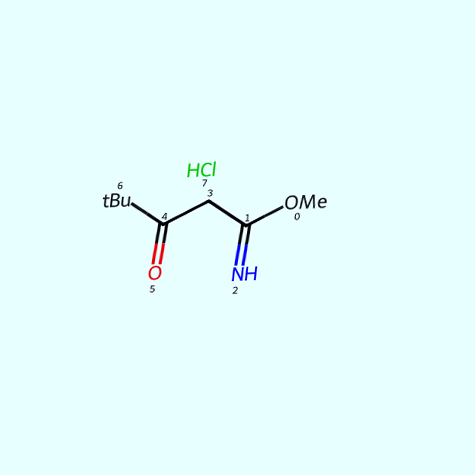 COC(=N)CC(=O)C(C)(C)C.Cl